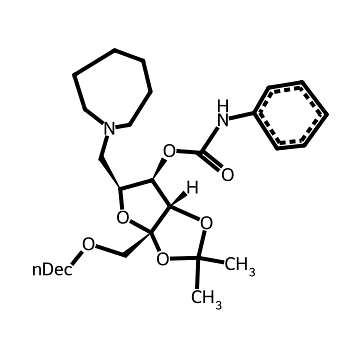 CCCCCCCCCCOC[C@@]12O[C@@H](CN3CCCCCC3)[C@@H](OC(=O)Nc3ccccc3)[C@@H]1OC(C)(C)O2